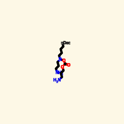 CCCCCCCCCCCCCCN(CCCN)OC(=O)OCCCN